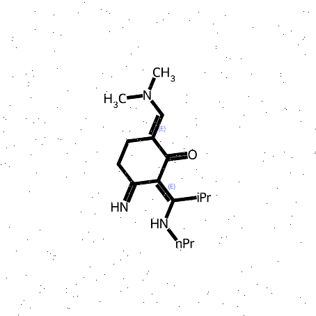 CCCN/C(=C1\C(=N)CC/C(=C\N(C)C)C1=O)C(C)C